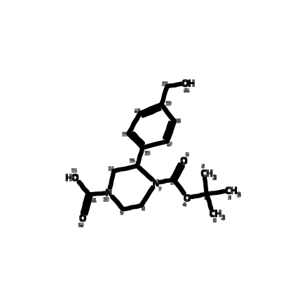 CC(C)(C)OC(=O)N1CCN(C(=O)O)CC1c1ccc(CO)cc1